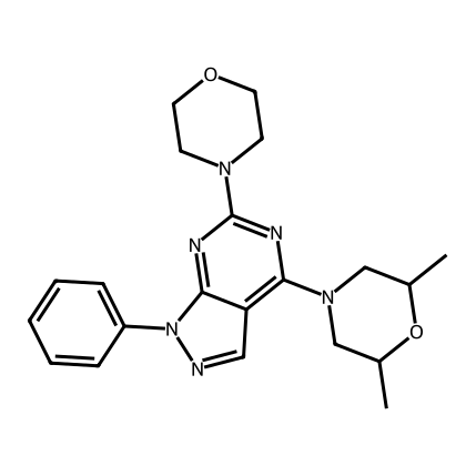 CC1CN(c2nc(N3CCOCC3)nc3c2cnn3-c2ccccc2)CC(C)O1